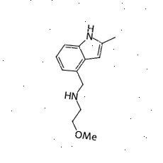 COCCNCc1cccc2[nH]c(C)cc12